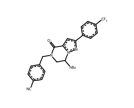 CCCCC1CN(Cc2ccc(C#N)cc2)C(=O)c2cc(-c3ccc(C(F)(F)F)cc3)nn21